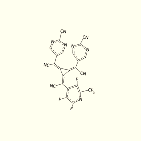 N#CC(=C1C(=C(/C#N)c2cnc(C#N)nc2)/C1=C(/C#N)c1c(F)c(F)nc(C(F)(F)F)c1F)c1cnc(C#N)nc1